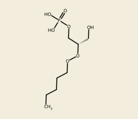 CCCCCOO[C@@H](CO)COP(=O)(O)O